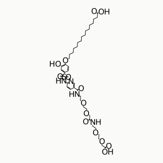 O=C(O)CCCCCCCCCCCCCCCOc1ccc(S(=O)(=O)Nc2ccc(C(=O)NCCOCCOCC(=O)NCCOCCOCC(=O)O)cn2)cc1O